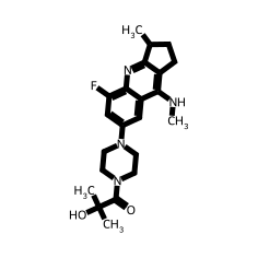 CNc1c2c(nc3c(F)cc(N4CCN(C(=O)C(C)(C)O)CC4)cc13)C(C)CC2